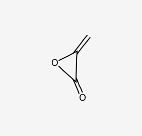 C=C1OC1=O